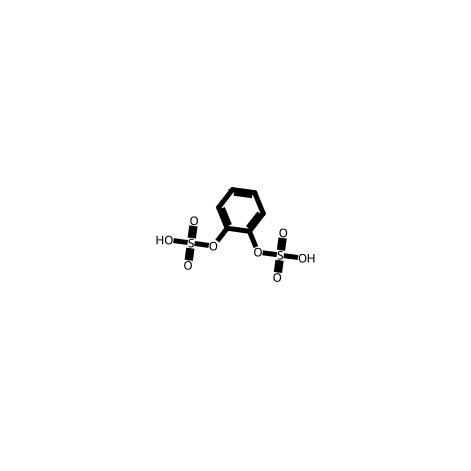 O=S(=O)(O)Oc1c[c]ccc1OS(=O)(=O)O